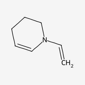 C=CN1C=CCCC1